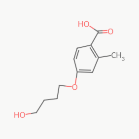 Cc1cc(OCCCCO)ccc1C(=O)O